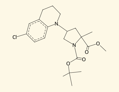 COC(=O)C1(C)CC(N2CCCc3cc(Cl)ccc32)CN1C(=O)OC(C)(C)C